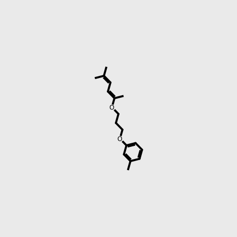 CC(C)=C/C=C(\C)OCCCOc1cccc(C)c1